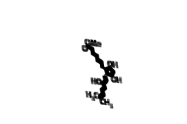 COC(=O)CCCC=CC[C@@H]1[C@@H](C=C[C@@H](O)CCC=C(C)C)[C@H](O)C[C@@H]1O